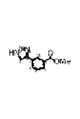 COC(=O)c1cccc(-c2c[nH]nn2)c1